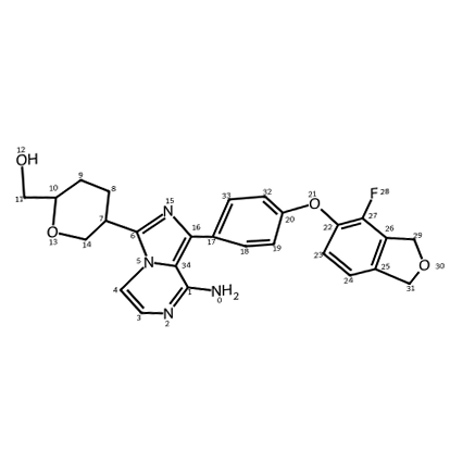 Nc1nccn2c(C3CCC(CO)OC3)nc(-c3ccc(Oc4ccc5c(c4F)COC5)cc3)c12